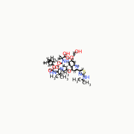 CC[C@@H]1CC1(NC(=O)[C@@H]1C[C@H](Oc2cc(-c3csc(NC(C)C)n3)nc3cc(OCCO)ccc23)CN1C(=O)[C@@H](NC(=O)O[C@@H]1C[C@@H]2C[C@@H]2C1)C(C)(C)C)C(=O)O